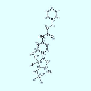 CC[C@H]1O[C@@H](n2ccc(NC(=O)OCc3ccccc3)nc2=O)C(F)(F)C1O[Si](C)(C)C